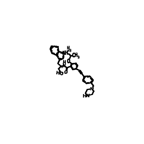 CC(C)Oc1ccc(C#Cc2ccc(CN3CCNCC3)cc2)cc1C(=O)N[C@@H](CO)Cc1c[nH]c2ccccc12